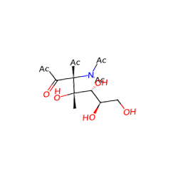 CC(=O)C(=O)[C@](C(C)=O)(N(C(C)=O)C(C)=O)[C@@](C)(O)[C@H](O)[C@H](O)CO